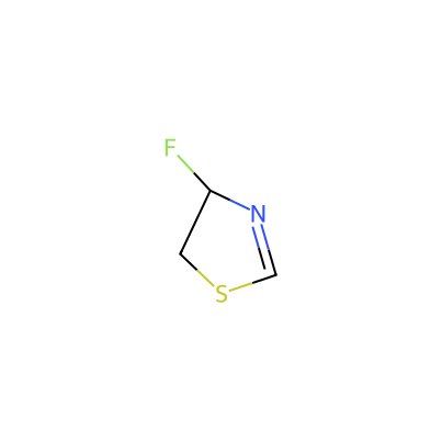 FC1CSC=N1